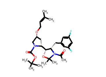 CC(=O)N1[C@@H](Cc2cc(F)cc(F)c2)[C@@H]([C@H]2C[C@@H](OCC=C(C)C)CN2C(=O)OC(C)(C)C)OC1(C)C